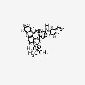 CC(C)(C)OC(=O)CN1C(=O)C(NC(=O)Nc2cccc(C=S)c2)CC(c2ccccc2)c2ccccc21